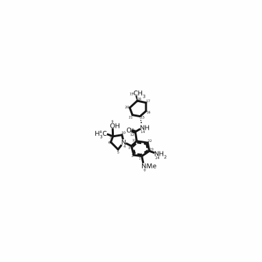 CNc1cc(N2CCC(C)(O)C2)c(C(=O)N[C@H]2CC[C@H](C)CC2)cc1N